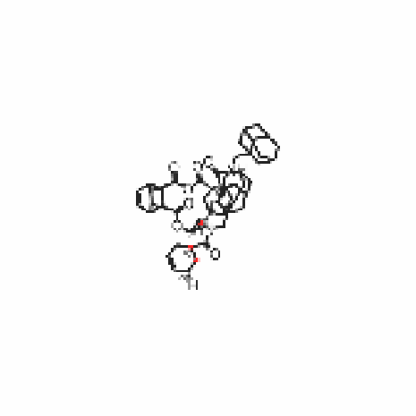 O=C(OC(=O)[C@]1(C(=O)NCC23CC4CC(CC(C4)C2)C3)C[C@H]2C=CC1CC2)C1C2C=CC(CC2)C1C(=O)OC(=O)[C@]1(C(=O)NCC23CC4CC(CC(C4)C2)C3)C[C@H]2C=CC1CC2